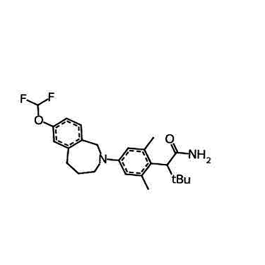 Cc1cc(N2CCCc3cc(OC(F)F)ccc3C2)cc(C)c1C(C(N)=O)C(C)(C)C